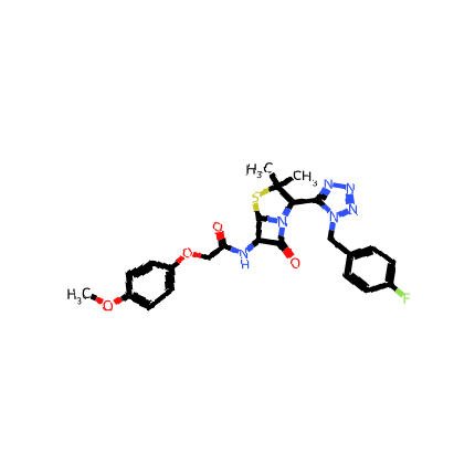 COc1ccc(OCC(=O)NC2C(=O)N3C2SC(C)(C)C3c2nnnn2Cc2ccc(F)cc2)cc1